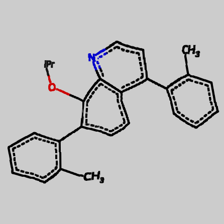 Cc1ccccc1-c1ccc2c(-c3ccccc3C)ccnc2c1OC(C)C